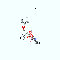 C[C@H](/C=C\COCc1ccccc1)CS(=O)(=O)OC(=O)NC(C)(C)C